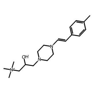 Cc1ccc(C=CN2CCN(CC(O)C[N+](C)(C)C)CC2)cc1